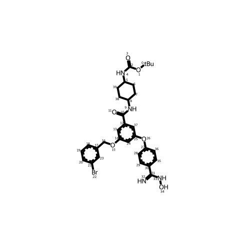 CC(C)(C)OC(=O)NC1CCC(NC(=O)c2cc(OCc3cccc(Br)c3)cc(Oc3ccc(C(=N)NO)cc3)c2)CC1